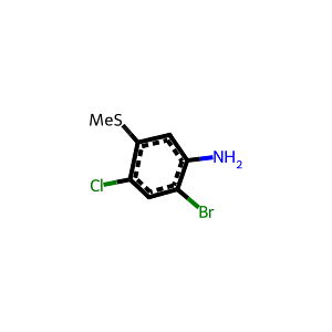 CSc1cc(N)c(Br)cc1Cl